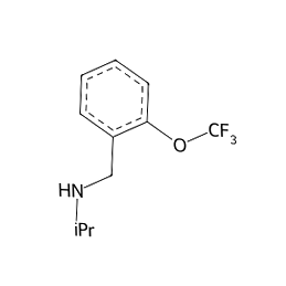 CC(C)NCc1ccccc1OC(F)(F)F